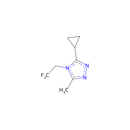 Cc1nnc(C2CC2)n1CC(F)(F)F